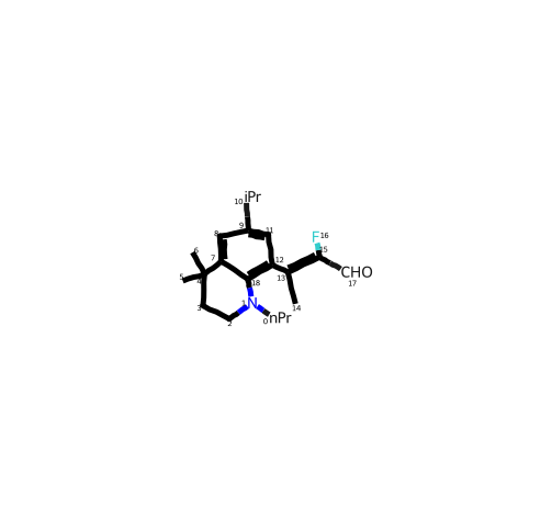 CCCN1CCC(C)(C)c2cc(C(C)C)cc(C(C)=C(F)C=O)c21